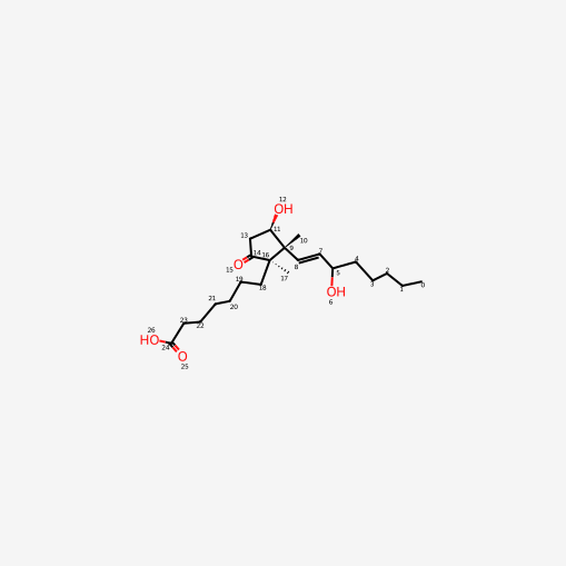 CCCCCC(O)/C=C/[C@@]1(C)[C@H](O)CC(=O)[C@]1(C)CCCCCCC(=O)O